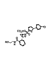 O=C(NCCO)c1ccccc1[C@@H]1C[C@]1(NS(=O)(=O)c1ccc(-c2ccc(Cl)cc2)s1)C(=O)O